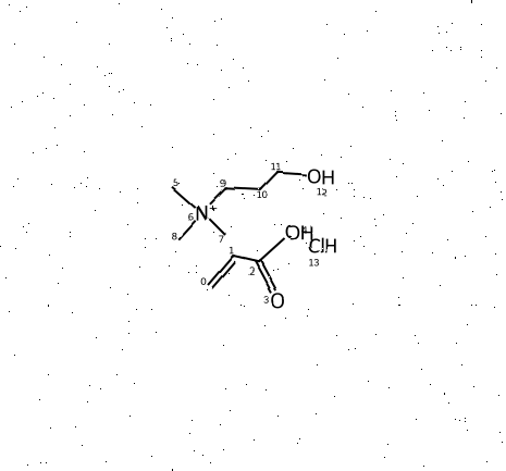 C=CC(=O)O.C[N+](C)(C)CCCO.Cl